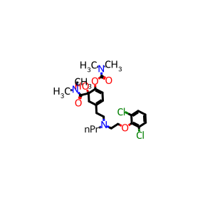 CCCN(CCOc1c(Cl)cccc1Cl)CCC1=CC=C(OC(=O)N(C)C)C(O)(C(=O)N(C)C)C1